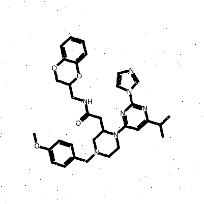 COc1ccc(CN2CCN(c3cc(C(C)C)nc(-n4ccnc4)n3)C(CC(=O)NCC3COc4ccccc4O3)C2)cc1